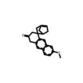 COc1ccc2cc3c(cc2c1)C1(CC(=O)C3)CC2=CCC1C2